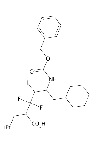 CC(C)CC(C(=O)O)C(F)(F)C(I)C(CC1CCCCC1)NC(=O)OCc1ccccc1